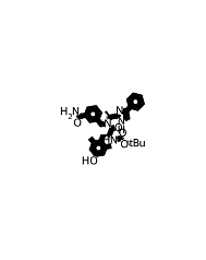 Cc1cc(O)cc(C)c1C[C@H](NC(=O)OC(C)(C)C)C(=O)N(Cc1cccc(C(N)=O)c1)[C@@H](C)c1nc(-c2ccccc2)c[nH]1